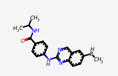 CBc1ccc2nc(Nc3ccc(C(=O)NC(C)C)cc3)ncc2c1